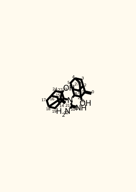 C=C1C2CC3CC(C2)C(N(C(=N)N)C2C4CC5CC(C4)C(=C)C2(O)C5)C1(O)C3